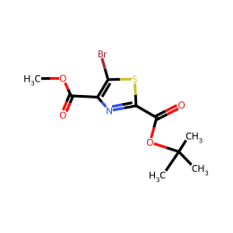 COC(=O)c1nc(C(=O)OC(C)(C)C)sc1Br